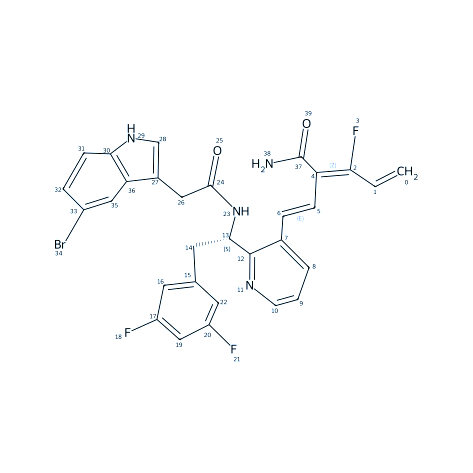 C=C/C(F)=C(\C=C\c1cccnc1[C@H](Cc1cc(F)cc(F)c1)NC(=O)Cc1c[nH]c2ccc(Br)cc12)C(N)=O